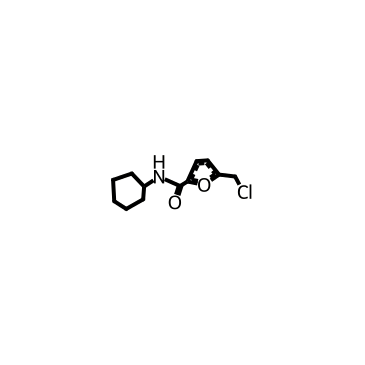 O=C(NC1CCCCC1)c1ccc(CCl)o1